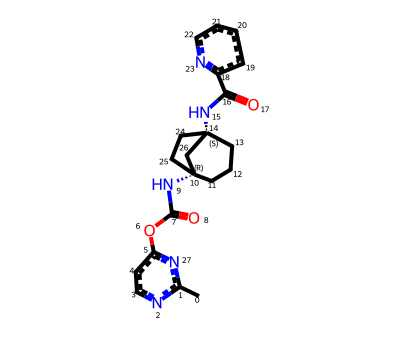 Cc1nccc(OC(=O)N[C@]23CCC[C@](NC(=O)c4ccccn4)(CC2)C3)n1